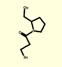 O=C(CCS)N1CCCC1CO